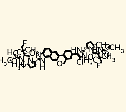 COC(=O)N[C@H](C(=O)N1[C@@H](C)CC[C@H]1c1nc(Cl)c(-c2ccc3c(c2)COc2cc4c(ccc5nc([C@@H]6CC[C@H](C)N6C(=O)[C@@H](NC(=O)OC)C(C)(C)CF)[nH]c54)cc2-3)[nH]1)C(C)(C)CF